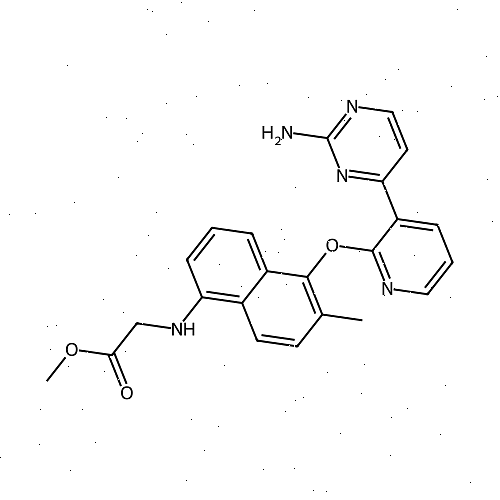 COC(=O)CNc1cccc2c(Oc3ncccc3-c3ccnc(N)n3)c(C)ccc12